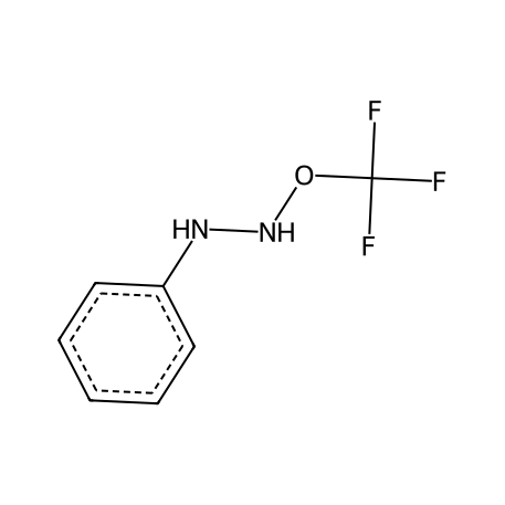 FC(F)(F)ONNc1ccccc1